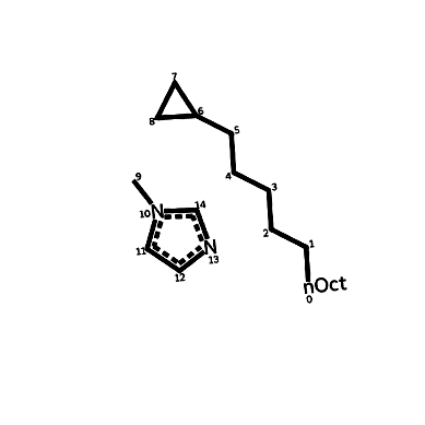 CCCCCCCCCCCCCC1CC1.Cn1ccnc1